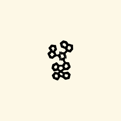 c1ccc2c(c1)-c1ccccc1C21c2ccccc2-c2c(-c3nc(-c4cccc5ccccc45)nc(-c4cccc5ccccc45)n3)cccc21